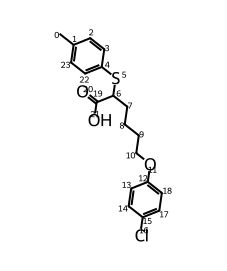 Cc1ccc(SC(CCCCOc2ccc(Cl)cc2)C(=O)O)cc1